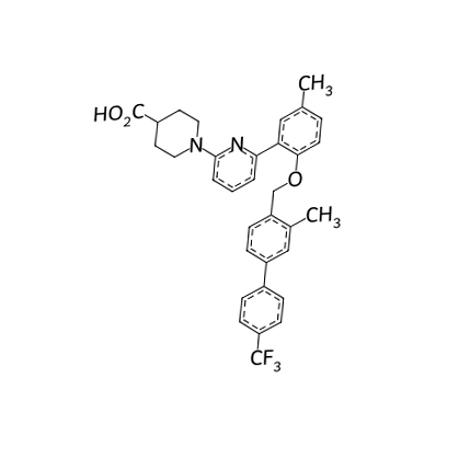 Cc1ccc(OCc2ccc(-c3ccc(C(F)(F)F)cc3)cc2C)c(-c2cccc(N3CCC(C(=O)O)CC3)n2)c1